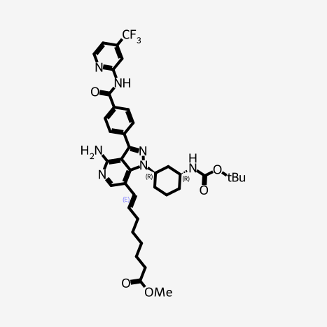 COC(=O)CCCCC/C=C/c1cnc(N)c2c(-c3ccc(C(=O)Nc4cc(C(F)(F)F)ccn4)cc3)nn([C@@H]3CCC[C@@H](NC(=O)OC(C)(C)C)C3)c12